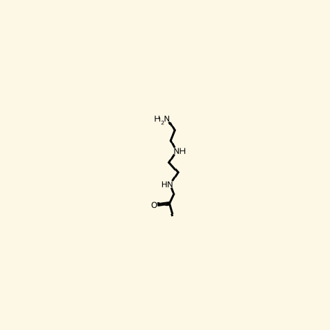 CC(=O)CNCCNCCN